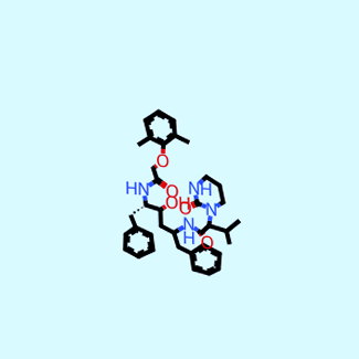 Cc1cccc(C)c1OCC(=O)N[C@@H](Cc1ccccc1)C(O)CC(Cc1ccccc1)NC(=O)C(C(C)C)N1CCCNC1=O